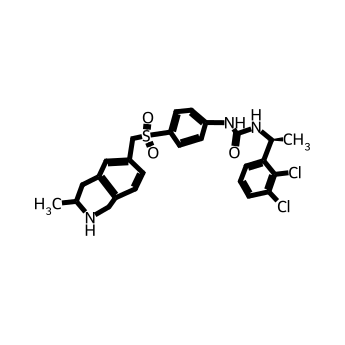 CC1Cc2cc(CS(=O)(=O)c3ccc(NC(=O)N[C@@H](C)c4cccc(Cl)c4Cl)cc3)ccc2CN1